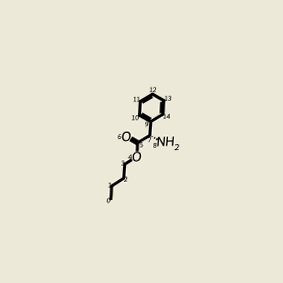 CCCCOC(=O)[C@@H](N)c1ccccc1